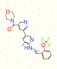 Cc1cc(-c2cncc(C(=O)N3CCOCC3)c2)cnc1N/C=C/c1ccccc1OC(F)(F)F